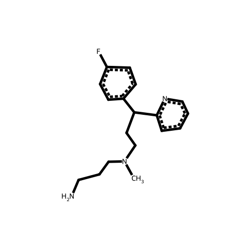 CN(CCCN)CCC(c1ccc(F)cc1)c1ccccn1